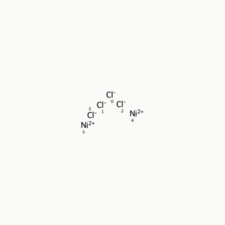 [Cl-].[Cl-].[Cl-].[Cl-].[Ni+2].[Ni+2]